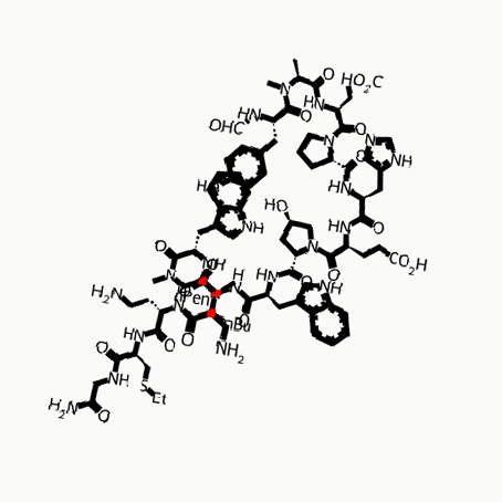 CCCCC[C@@H](C(=O)N(C)[C@@H](CCCC)C(=O)N[C@@H](CCN)C(=O)N[C@@H](CSCC)C(=O)NCC(N)=O)N(C)C(=O)[C@H](Cc1c[nH]c2ccccc12)NC(=O)[C@H](CCN)NC(=O)[C@H](Cc1c[nH]c2ccccc12)NC(=O)[C@@H]1C[C@@H](O)CN1C(=O)[C@H](CCC(=O)O)NC(=O)[C@H](Cc1cnc[nH]1)NC(=O)[C@@H]1CCCN1C(=O)[C@H](CC(=O)O)NC(=O)[C@H](C)N(C)C(=O)[C@H](Cc1ccc(O)cc1)NC=O